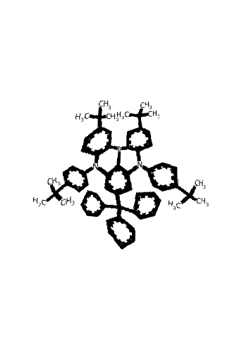 CC(C)(C)c1ccc(N2c3ccc(C(C)(C)C)cc3B3c4cc(C(C)(C)C)ccc4N(c4ccc(C(C)(C)C)cc4)c4cc(C(c5ccccc5)(c5ccccc5)c5ccccc5)cc2c43)cc1